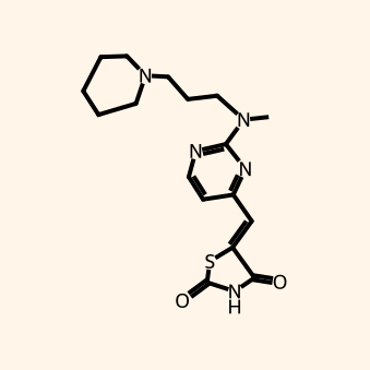 CN(CCCN1CCCCC1)c1nccc(/C=C2\SC(=O)NC2=O)n1